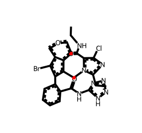 CCNC(=O)c1c(Cl)nc(CC)n1Cc1c2ccocc-2c(Br)c1-c1ccccc1C(=O)Nc1nnn[nH]1